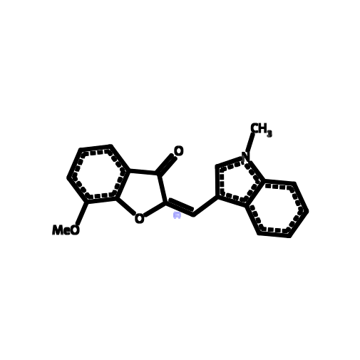 COc1cccc2c1O/C(=C/c1cn(C)c3ccccc13)C2=O